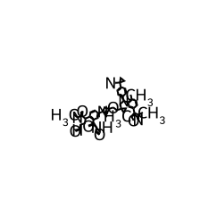 CNC(=O)C(CCC=O)c1ccc(N2CC(OCC3(CN(c4ccc(C5(C#N)CC5)cc4)c4cc(-c5c(C)noc5C)ccc4C)CC3)C2)cc1C(=O)NC=O